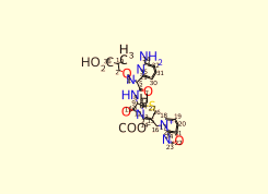 CC(CON=C(C(=O)NC1C(=O)N2C(C(=O)[O-])=C(C[n+]3cccc4ocnc43)CS[C@@H]12)c1cccc(N)n1)C(=O)O